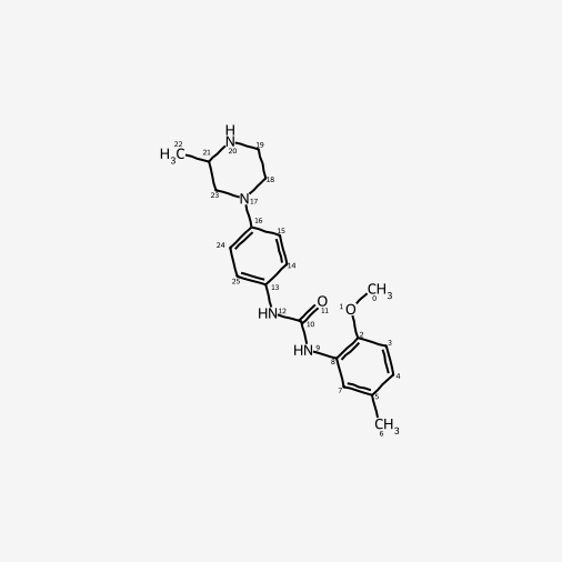 COc1ccc(C)cc1NC(=O)Nc1ccc(N2CCNC(C)C2)cc1